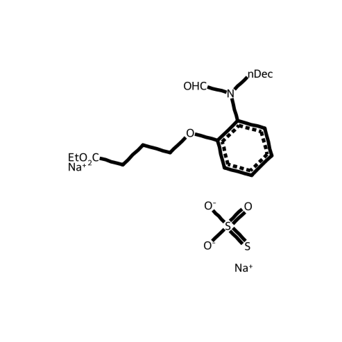 CCCCCCCCCCN(C=O)c1ccccc1OCCCC(=O)OCC.O=S([O-])([O-])=S.[Na+].[Na+]